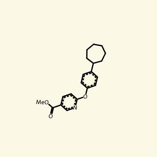 COC(=O)c1ccc(Oc2ccc(C3CCCCCC3)cc2)nc1